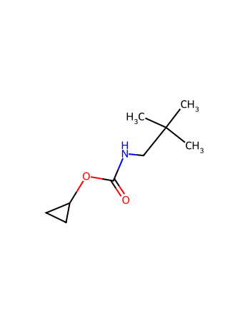 CC(C)(C)CNC(=O)OC1CC1